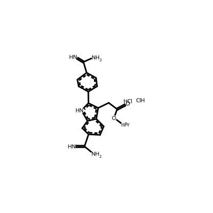 CCCOC(=O)Cc1c(-c2ccc(C(=N)N)cc2)[nH]c2cc(C(=N)N)ccc12.Cl.Cl